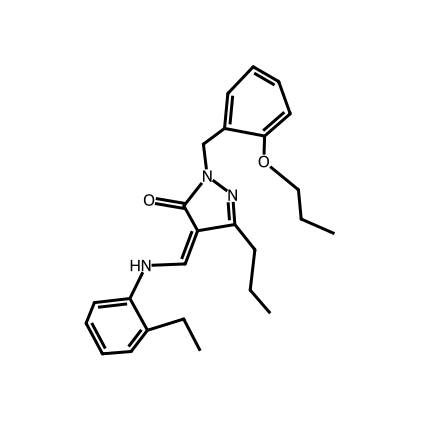 CCCOc1ccccc1CN1N=C(CCC)C(=CNc2ccccc2CC)C1=O